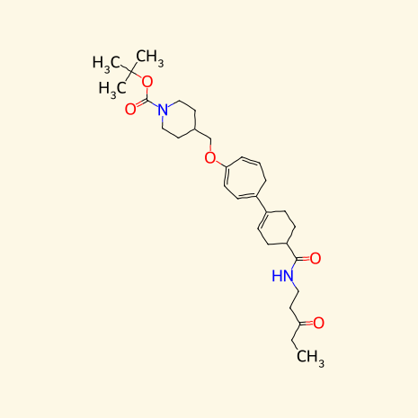 CCC(=O)CCNC(=O)C1CC=C(C2=CC=C(OCC3CCN(C(=O)OC(C)(C)C)CC3)C=CC2)CC1